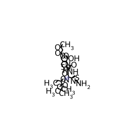 CCC(O/N=C(\C(=O)N[C@@H]1C(=O)N2C(C(=O)O)=C(COC(=O)CC(C)=O)CS[C@@H]12)c1csc(N)n1)C(=O)OC(C)(C)C